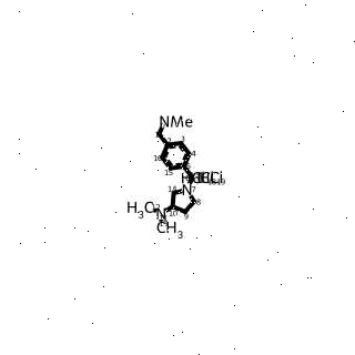 CNCc1ccc(CN2CCC(N(C)C)C2)cc1.Cl.Cl.Cl